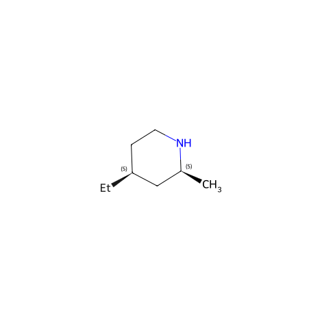 CC[C@H]1CCN[C@@H](C)C1